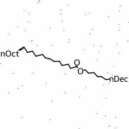 CCCCCCCC/C=C\CCCCCCCCCCCC(=O)OCCCCCCCCCCCCCCCC